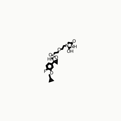 O=C1CN(CCOCCS(=O)(=O)NC2(c3ccc(F)c(OCC4CC4)c3)CC2)C(O)N1